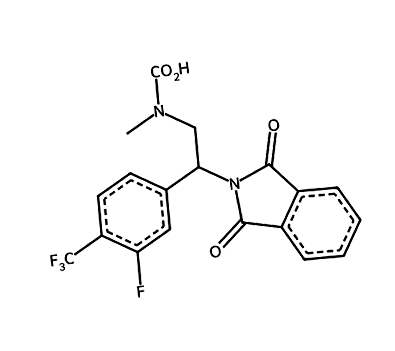 CN(CC(c1ccc(C(F)(F)F)c(F)c1)N1C(=O)c2ccccc2C1=O)C(=O)O